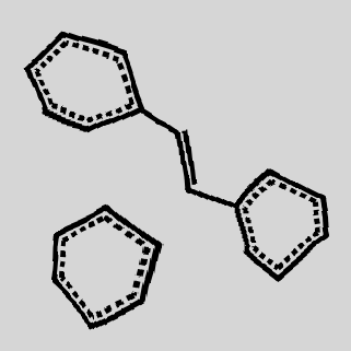 C(=Cc1ccccc1)c1ccccc1.c1ccccc1